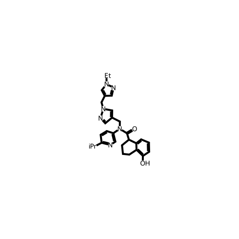 CCn1cc(Cn2cc(CN(C(=O)C3CCCc4c(O)cccc43)c3ccc(C(C)C)nc3)cn2)cn1